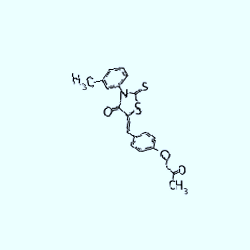 CC(=O)COc1ccc(/C=C2\SC(=S)N(c3cccc(C)c3)C2=O)cc1